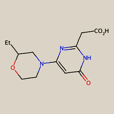 CCC1CN(c2cc(=O)[nH]c(CC(=O)O)n2)CCO1